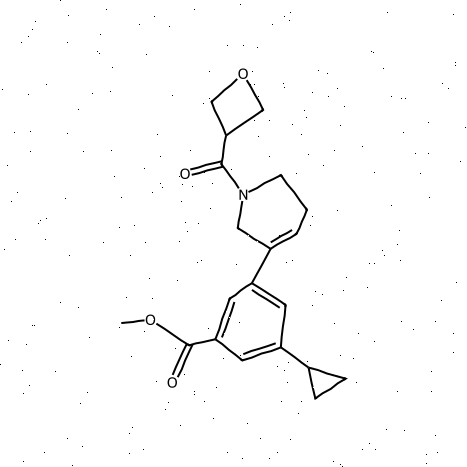 COC(=O)c1cc(C2=CCCN(C(=O)C3COC3)C2)cc(C2CC2)c1